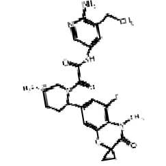 CCc1cc(NC(=O)C(=O)N2C[C@@H](C)CCC2c2cc(F)c3c(c2)OC2(CC2)C(=O)N3C)cnc1N